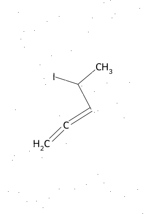 C=C=CC(C)I